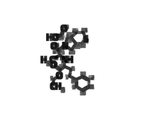 CCOC(=O)C(CCc1ccccc1)N[C@@H](C)C(=O)N1CC2CSCCC2[C@H]1C(=O)O